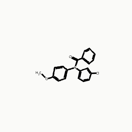 COc1ccc(N(C(=O)c2ccccc2)c2cccc(Cl)c2)cc1